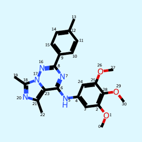 COc1cc(Nc2nc(-c3ccc(C)cc3)nn3c(C)nc(C)c23)cc(OC)c1OC